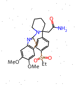 CCS(=O)(=O)c1ccc(C2(CC(N)=O)CCCCN2c2nc3cc(OC)c(OC)cc3s2)cc1